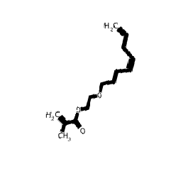 C=CC/C=C\CCCOCCOC(=O)C(=C)C